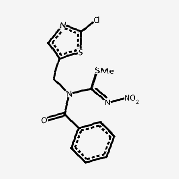 CSC(=N[N+](=O)[O-])N(Cc1cnc(Cl)s1)C(=O)c1ccccc1